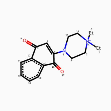 CC[N+]1(CC)CCN(C2=CC(=O)c3ccccc3C2=O)CC1